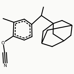 Cc1cc(C(C)C23CC4CC(CC(C4)C2)C3)ccc1OC#N